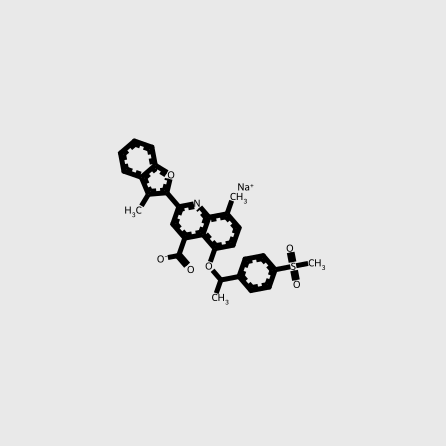 Cc1c(-c2cc(C(=O)[O-])c3c(OC(C)c4ccc(S(C)(=O)=O)cc4)ccc(C)c3n2)oc2ccccc12.[Na+]